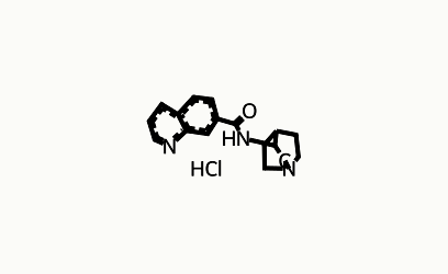 Cl.O=C(NC1CN2CCC1CC2)c1ccc2cccnc2c1